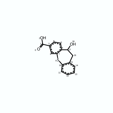 O=C(O)c1ccc2c(c1)Sc1ccccc1CC2O